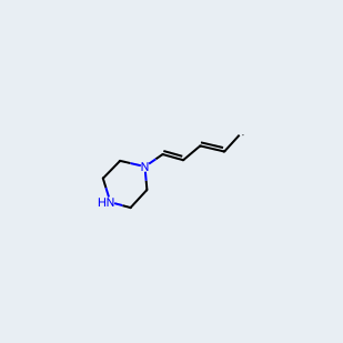 [CH2]C=CC=CN1CCNCC1